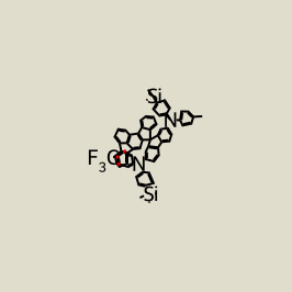 Cc1ccc(N(c2ccc([Si](C)(C)C)cc2)c2ccc3c(c2)C2(c4cc(N(c5ccc(C(F)(F)F)cc5)c5ccc([Si](C)(C)C)cc5)ccc4-3)c3ccccc3-c3c2cc2c4c(cccc34)-c3ccccc3-2)cc1